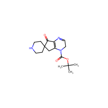 CC(C)(C)OC(=O)N1CC=NC2=C1CC1(CCNCC1)C2=O